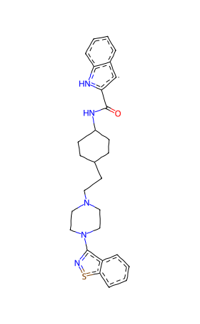 O=C(NC1CCC(CCN2CCN(c3nsc4ccccc34)CC2)CC1)c1[c]c2ccccc2[nH]1